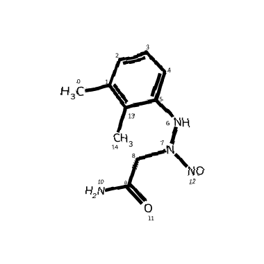 Cc1cccc(NN(CC(N)=O)N=O)c1C